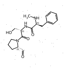 CN[C@@H](Cc1ccccc1)C(=O)N[C@@H](CO)C(=O)N1CCC[C@H]1[C]=O